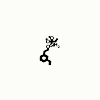 C=Cc1cccc(CCO[SiH2]C(CC)(OC)OC)c1